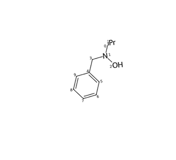 CC(C)N(O)Cc1ccccc1